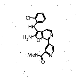 CNC(=O)c1cc(-c2nccc3c(Nc4ccccc4Cl)c(N)oc23)ccn1